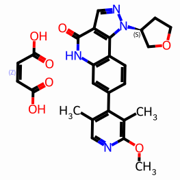 COc1ncc(C)c(-c2ccc3c(c2)[nH]c(=O)c2cnn([C@H]4CCOC4)c23)c1C.O=C(O)/C=C\C(=O)O